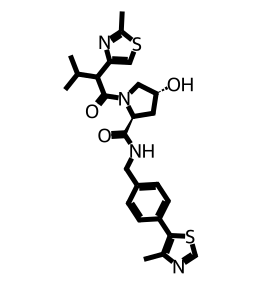 Cc1nc(C(C(=O)N2C[C@H](O)C[C@H]2C(=O)NCc2ccc(-c3scnc3C)cc2)C(C)C)cs1